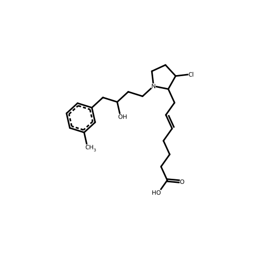 Cc1cccc(CC(O)CCN2CCC(Cl)C2CC=CCCCC(=O)O)c1